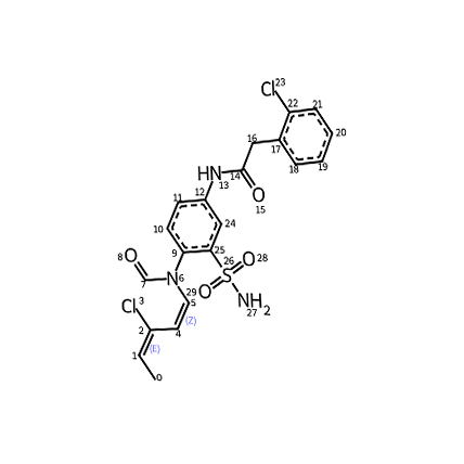 C/C=C(Cl)\C=C/N(C=O)c1ccc(NC(=O)Cc2ccccc2Cl)cc1S(N)(=O)=O